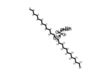 CCCCCCCCCCCCOCCCCCCCCCCCC.O=S(=O)(O)O.[NaH].[Na]